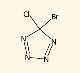 ClC1(Br)N=NN=N1